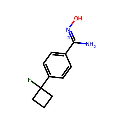 N/C(=N\O)c1ccc(C2(F)CCC2)cc1